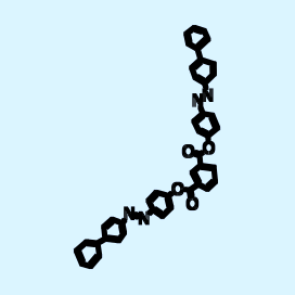 O=C(Oc1ccc(/N=N/c2ccc(-c3ccccc3)cc2)cc1)c1cccc(C(=O)Oc2ccc(/N=N/c3ccc(-c4ccccc4)cc3)cc2)c1